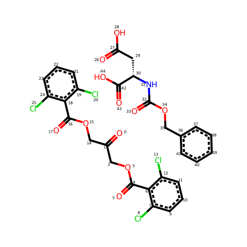 O=C(COC(=O)c1c(Cl)cccc1Cl)COC(=O)c1c(Cl)cccc1Cl.O=C(O)C[C@H](NC(=O)OCc1ccccc1)C(=O)O